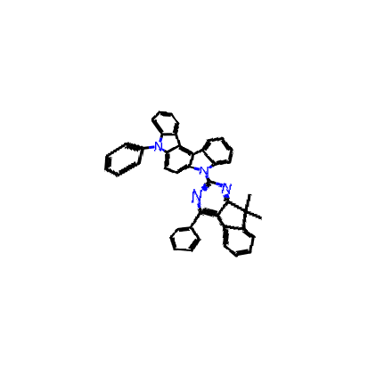 CC1(C)c2ccccc2-c2c(-c3ccccc3)nc(-n3c4ccccc4c4c5c6ccccc6n(-c6ccccc6)c5ccc43)nc21